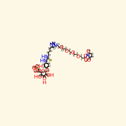 O=C(CCOCCOCCOCCOCCn1cc(CCCCNC(=S)Nc2ccc(O[C@H]3O[C@H](CCP(=O)(O)O)[C@@H](O)[C@H](O)[C@@H]3O)cc2)nn1)ON1C(=O)CCC1=O